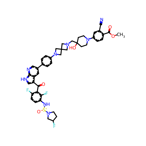 COC(=O)c1ccc(N2CCC(O)(CN3CC4(C3)CN(c3ccc(-c5cnc6[nH]cc(C(=O)c7c(F)ccc(N[S+]([O-])N8CCC(F)C8)c7F)c6c5)cc3)C4)CC2)cc1C#N